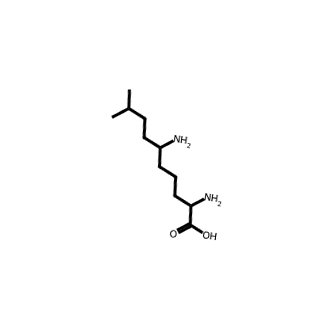 CC(C)CCC(N)CCCC(N)C(=O)O